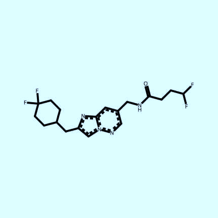 O=C(CCC(F)F)NCc1cnn2cc(CC3CCC(F)(F)CC3)nc2c1